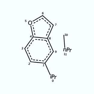 CC(C)c1ccc2occc2c1.CCCC